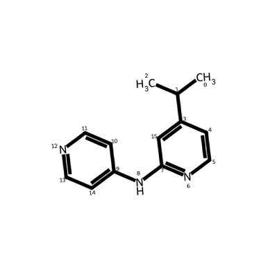 CC(C)c1ccnc(Nc2ccncc2)c1